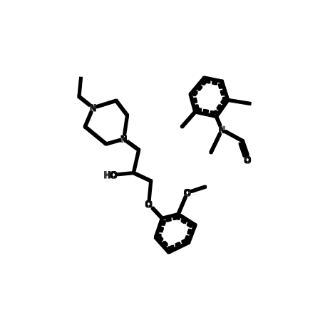 CCN1CCN(CC(O)COc2ccccc2OC)CC1.Cc1cccc(C)c1N(C)C=O